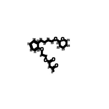 CC(=O)CC(=O)OCCOc1ccccc1CCCCOC1CCCCO1